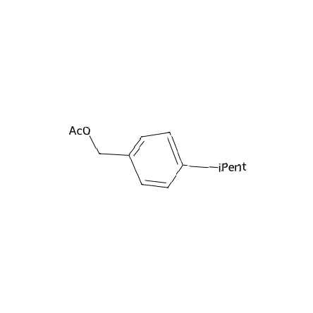 CCCC(C)c1ccc(COC(C)=O)cc1